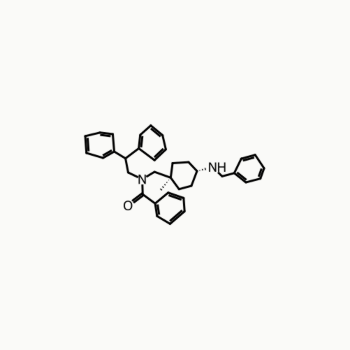 C[C@]1(CN(CC(c2ccccc2)c2ccccc2)C(=O)c2ccccc2)CC[C@H](NCc2ccccc2)CC1